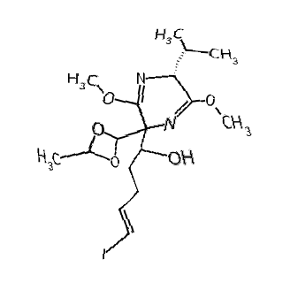 COC1=NC(C(O)CC/C=C/I)(C2OC(C)O2)C(OC)=N[C@@H]1C(C)C